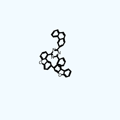 c1ccc(-c2nc(-c3ccc4ccc5ccccc5c4c3)nc(-c3cccc4oc5ccc(-c6ccc7c(c6)oc6ccccc67)cc5c34)n2)cc1